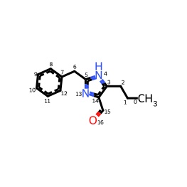 CCCc1[nH]c(Cc2ccccc2)nc1C=O